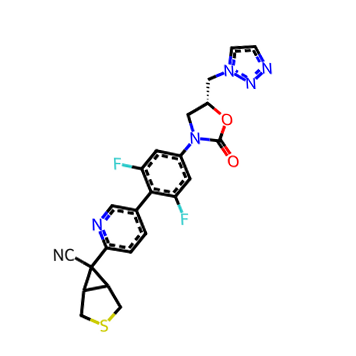 N#CC1(c2ccc(-c3c(F)cc(N4C[C@H](Cn5ccnn5)OC4=O)cc3F)cn2)C2CSCC21